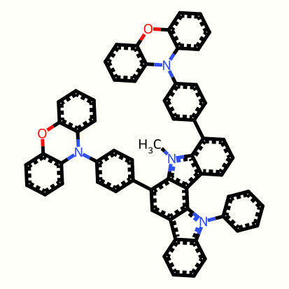 Cn1c2c(-c3ccc(N4c5ccccc5Oc5ccccc54)cc3)cccc2c2c1c(-c1ccc(N3c4ccccc4Oc4ccccc43)cc1)cc1c3ccccc3n(-c3ccccc3)c12